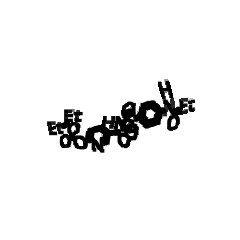 CCC(=O)Nc1ccc(S(=O)(=O)NC(=O)c2ccc(OC(=O)OC(CC)CC)nc2)cc1